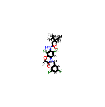 [2H]C([2H])([2H])C(C)(CC(=O)Nc1c(Cl)cc2c(c1F)O[C@H](C)C(=O)N2Cc1cc(F)cc(F)c1)C([2H])([2H])[2H]